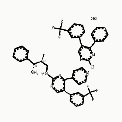 C[C@@H](CNc1ncc(-c2cccc(C(F)(F)F)c2)c(-c2ccncc2)n1)[C@H](N)c1ccccc1.Cl.FC(F)(F)c1cccc(-c2cnc(Cl)nc2-c2ccncc2)c1